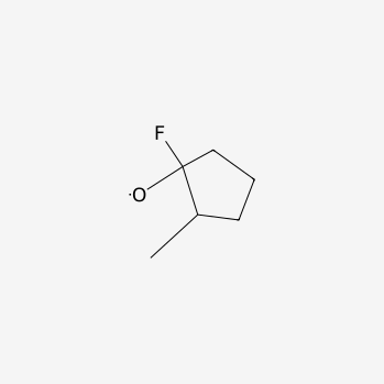 CC1CCCC1([O])F